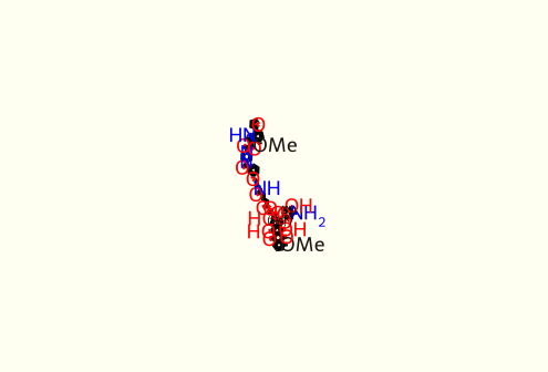 COc1cccc2c1C(=O)c1c(O)c3c(c(O)c1C2=O)C[C@@](O)(C(=O)COC(=O)CCCC(=O)NCCOc1cccc(C(=O)N2CCN(C(=O)C(=O)c4c[nH]c5c(-c6ccco6)ccc(OC)c45)CC2)c1)C[C@@H]3O[C@H]1CC(N)[C@H](O)[C@H](C)O1